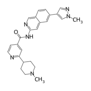 CN1CCC(c2cc(C(=O)Nc3cc4cc(-c5cnn(C)c5)ccc4cn3)ccn2)CC1